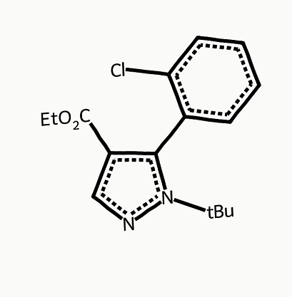 CCOC(=O)c1cnn(C(C)(C)C)c1-c1ccccc1Cl